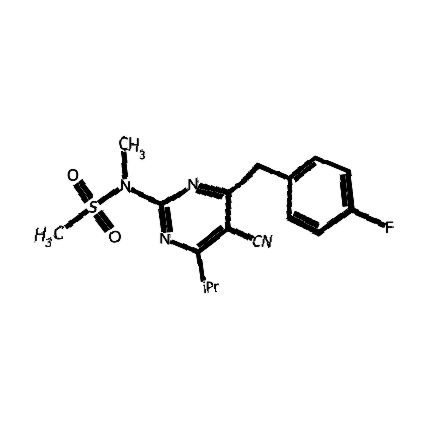 CC(C)c1nc(N(C)S(C)(=O)=O)nc(Cc2ccc(F)cc2)c1C#N